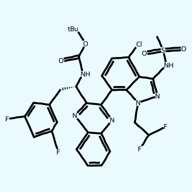 CC(C)(C)OC(=O)N[C@@H](Cc1cc(F)cc(F)c1)c1nc2ccccc2nc1-c1ccc(Cl)c2c(NS(C)(=O)=O)nn(CC(F)F)c12